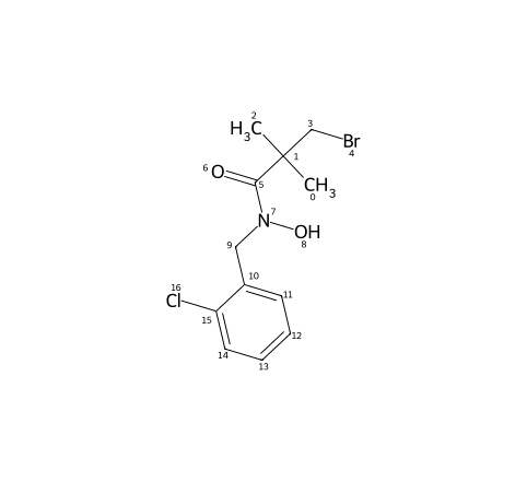 CC(C)(CBr)C(=O)N(O)Cc1ccccc1Cl